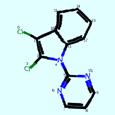 Clc1c(Cl)n(-c2ncccn2)c2ccccc12